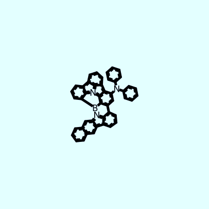 c1ccc(N(c2ccccc2)c2cc3c4c5c2c2cccc6c7cccc(c7n5c62)B4n2c4cc5ccccc5cc4c4cccc-3c42)cc1